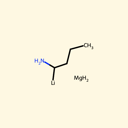 [Li][CH](N)CCC.[MgH2]